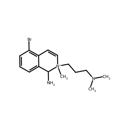 CN(C)CCC[N+]1(C)C=Cc2c(Br)cccc2C1N